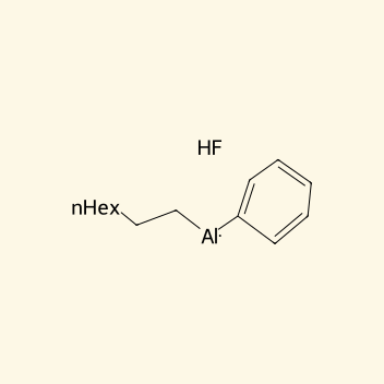 CCCCCCC[CH2][Al][c]1ccccc1.F